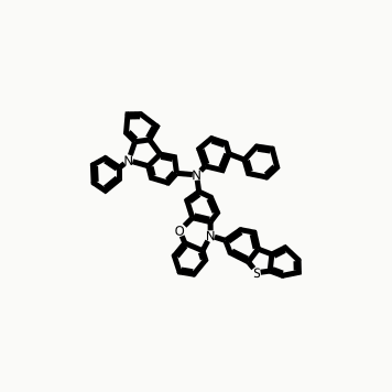 c1ccc(-c2cccc(N(c3ccc4c(c3)Oc3ccccc3N4c3ccc4c(c3)sc3ccccc34)c3ccc4c(c3)c3ccccc3n4-c3ccccc3)c2)cc1